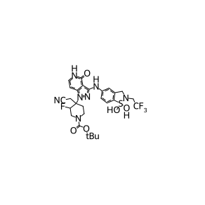 CC(C)(C)OC(=O)N1CCC(CC#N)(n2nc(Nc3ccc4c(c3)CN(CC(F)(F)F)S4(O)O)c3c(=O)[nH]ccc32)C(F)C1